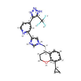 FC(F)(F)c1[nH]nnc1-c1ccnc(-c2cn(C[C@H]3CCOc4c(C5CC5)cccc43)cn2)c1